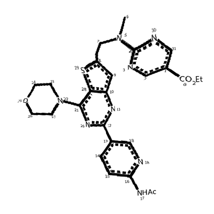 CCOC(=O)c1cnc(N(C)Cc2cc3nc(-c4ccc(NC(C)=O)nc4)nc(N4CCOCC4)c3s2)nc1